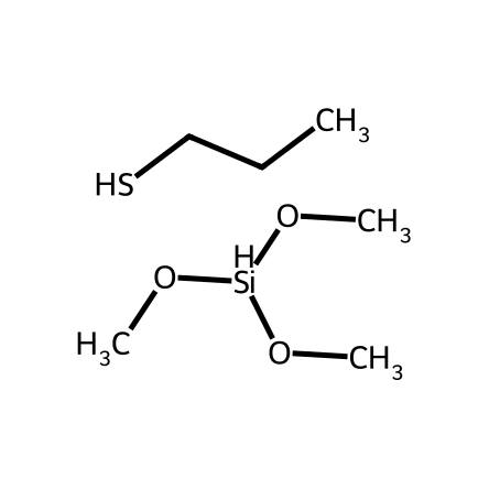 CCCS.CO[SiH](OC)OC